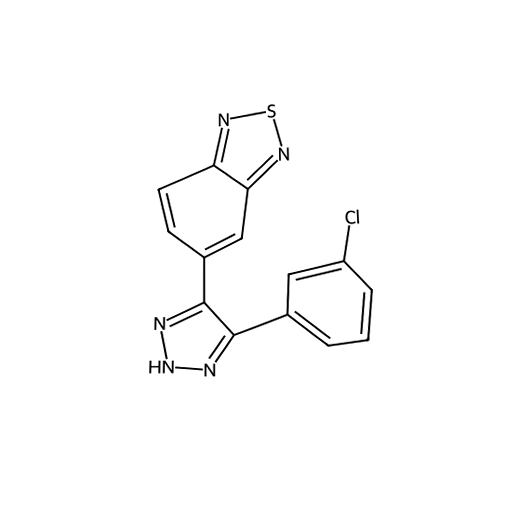 Clc1cccc(-c2n[nH]nc2-c2ccc3nsnc3c2)c1